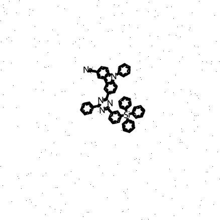 N#Cc1ccc2c(c1)c1cc(-c3nc(-c4ccccc4)nc(-c4cccc([Si](c5ccccc5)(c5ccccc5)c5ccccc5)c4)n3)ccc1n2-c1ccccc1